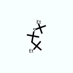 CCC(C)(C)CC(C)(C)SC(C)(C)CC